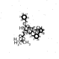 CC(C)(C)OC(=O)CC[C@H](NC(=O)OCc1ccccc1)C(=O)N[C@@H](Cc1cccc(C2CCCC2)c1)C(=O)OC(C)(C)C